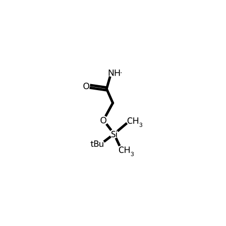 CC(C)(C)[Si](C)(C)OCC([NH])=O